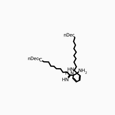 CCCCCCCCCCCCCCCCCCCC(=N)C1(N)C=CC=CC1(N)C(=N)CCCCCCCCCCCCCCCCCCC